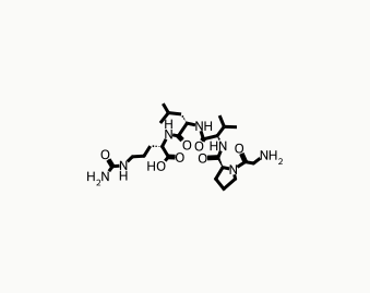 CC(C)C[C@H](NC(=O)[C@@H](NC(=O)[C@@H]1CCCN1C(=O)CN)C(C)C)C(=O)N[C@@H](CCCNC(N)=O)C(=O)O